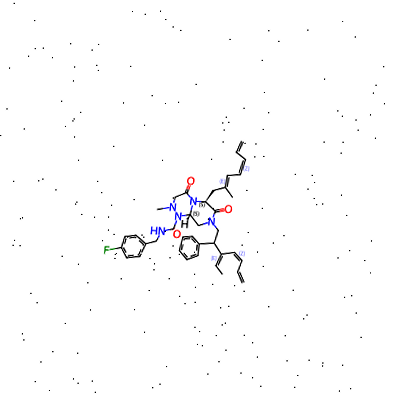 C=C/C=C\C=C(/C)C[C@H]1C(=O)N(CC(C(/C=C\C=C)=C/C)c2ccccc2)C[C@H]2N1C(=O)CN(C)N2C(=O)NCc1ccc(F)cc1